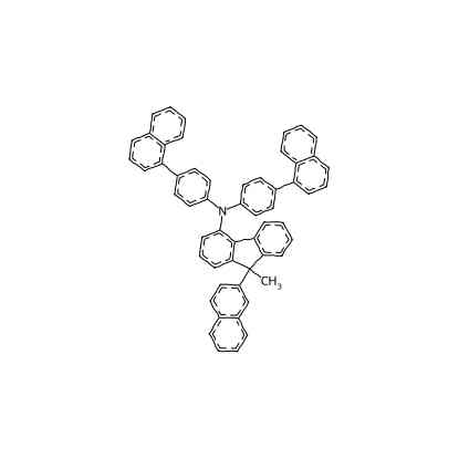 CC1(c2ccc3ccccc3c2)c2ccccc2-c2c(N(c3ccc(-c4cccc5ccccc45)cc3)c3ccc(-c4cccc5ccccc45)cc3)cccc21